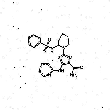 NC(=O)c1nc(N2CCCCC2NS(=O)(=O)c2ccccc2)sc1Nc1ccccn1